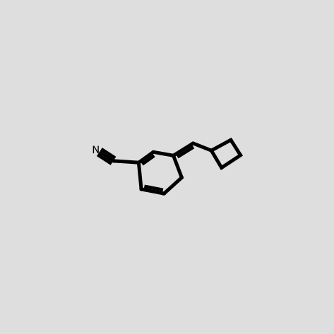 N#CC1=CC(=CC2CCC2)CC=C1